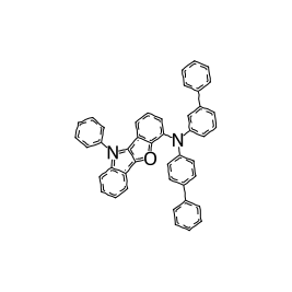 c1ccc(-c2ccc(N(c3cccc(-c4ccccc4)c3)c3cccc4c3oc3c5ccccc5n(-c5ccccc5)c43)cc2)cc1